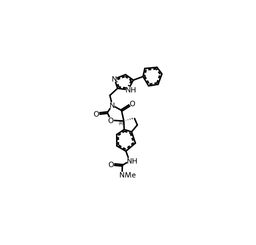 CNC(=O)Nc1ccc2c(c1)CC[C@@]21OC(=O)N(Cc2ncc(-c3ccccc3)[nH]2)C1=O